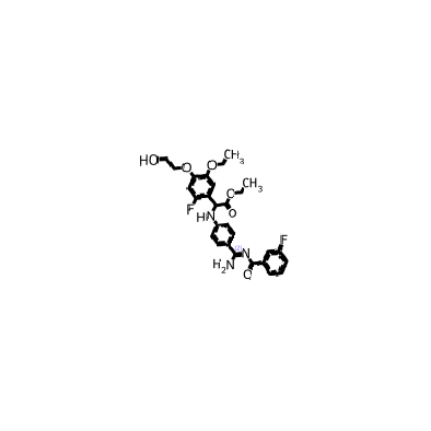 CCOC(=O)C(Nc1ccc(/C(N)=N/C(=O)c2cccc(F)c2)cc1)c1cc(OCC)c(OCCO)cc1F